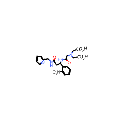 O=C(O)CN(CC(=O)O)CC(=O)NC(CC(=O)NCc1ccccn1)c1ccccc1[N+](=O)[O-]